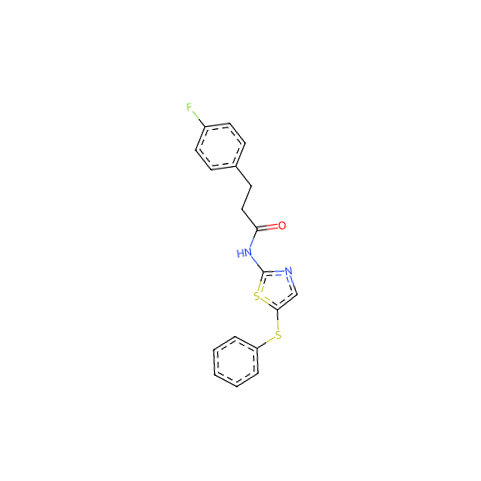 O=C(CCc1ccc(F)cc1)Nc1ncc(Sc2ccccc2)s1